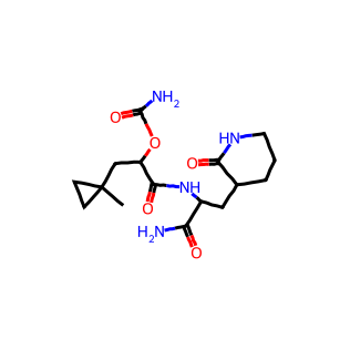 CC1(CC(OC(N)=O)C(=O)NC(CC2CCCNC2=O)C(N)=O)CC1